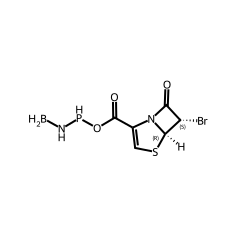 BNPOC(=O)C1=CS[C@@H]2[C@@H](Br)C(=O)N12